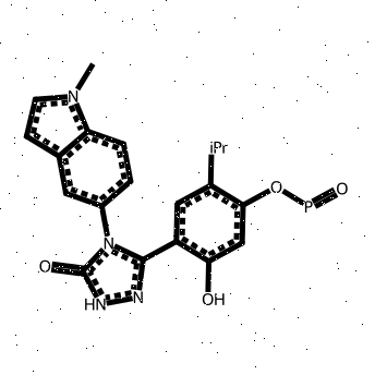 CC(C)c1cc(-c2n[nH]c(=O)n2-c2ccc3c(ccn3C)c2)c(O)cc1OP=O